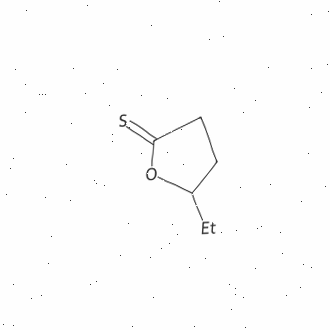 CCC1CCC(=S)O1